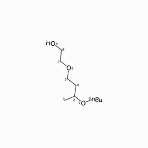 CCCCOC(C)CCOCCO